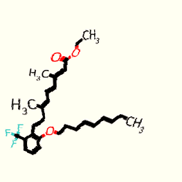 CCCCCCCCCOc1cccc(C(F)(F)F)c1/C=C/C(C)=C/C=C/C(C)=C/C(=O)OCC